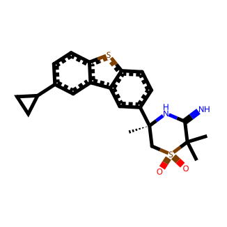 CC1(C)C(=N)N[C@](C)(c2ccc3sc4ccc(C5CC5)cc4c3c2)CS1(=O)=O